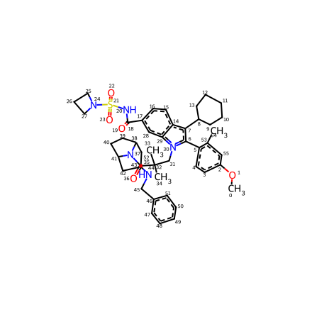 COc1ccc(-c2c(C3CCCCC3)c3ccc(C(=O)NS(=O)(=O)N4CCC4)cc3n2CC(C)(C)C(=O)N2C3CCC2CC(NCc2ccccc2)C3)c(C)c1